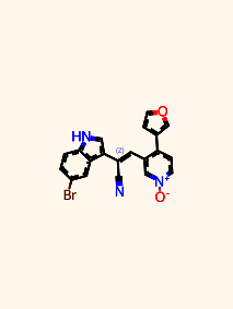 N#C/C(=C\c1c[n+]([O-])ccc1-c1ccoc1)c1c[nH]c2ccc(Br)cc12